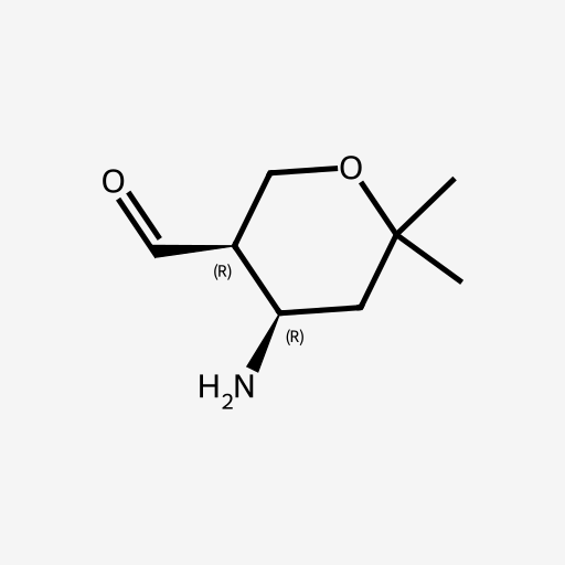 CC1(C)C[C@@H](N)[C@@H](C=O)CO1